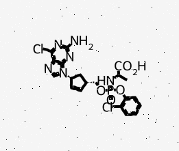 CC(NP(=O)(OC[C@@H]1C=C[C@H](n2cnc3c(Cl)nc(N)nc32)C1)Oc1ccccc1Cl)C(=O)O